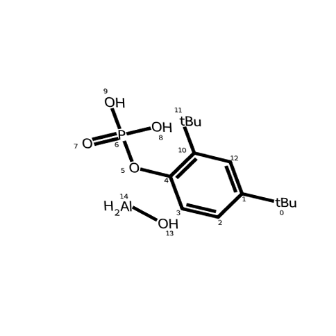 CC(C)(C)c1ccc(OP(=O)(O)O)c(C(C)(C)C)c1.[OH][AlH2]